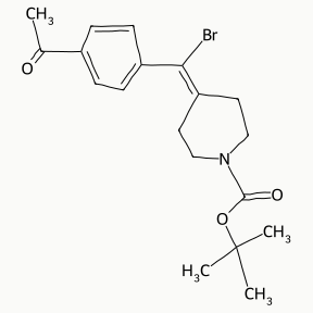 CC(=O)c1ccc(C(Br)=C2CCN(C(=O)OC(C)(C)C)CC2)cc1